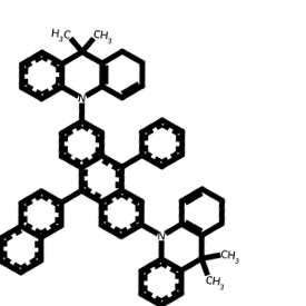 CC1(C)C2=C(C=CCC2)N(c2ccc3c(-c4ccc5ccccc5c4)c4ccc(N5C6=C(CCC=C6)C(C)(C)c6ccccc65)cc4c(-c4ccccc4)c3c2)c2ccccc21